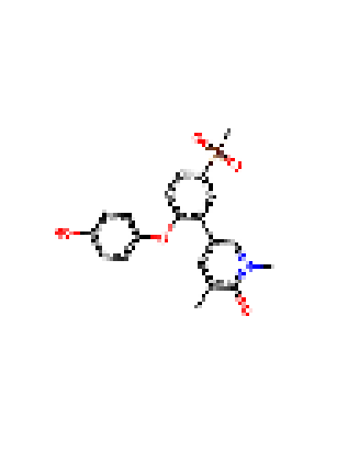 Cc1cc(-c2cc(S(C)(=O)=O)ccc2Oc2ccc(O)cc2)cn(C)c1=O